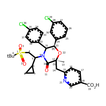 CC(C)(C)S(=O)(=O)CC(C1CC1)N1C(=O)[C@](C)(Cc2ccc(C(=O)O)cn2)O[C@H](c2cccc(Cl)c2)C1c1ccc(Cl)cc1